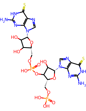 Nc1nc2c(ncn2[C@@H]2O[C@H](COP(=O)(O)OC3C(O)[C@H](n4cnc5c(=S)[nH]c(N)nc54)O[C@@H]3COP(=O)(O)O)C(O)C2O)c(=S)[nH]1